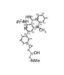 CNCC(O)COc1cccc(-c2cc(N(C)c3ccccn3)c(C=N)c(NC(C)C)n2)c1